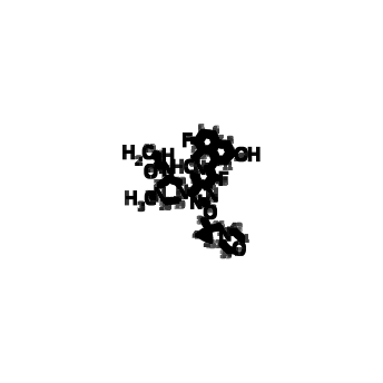 C#Cc1c(F)ccc2cc(O)cc(-c3ncc4c(N5CCN(C)CC(NC(=O)C=C)C5)nc(OCC5(CN6CCOCC6)CC5)nc4c3F)c12